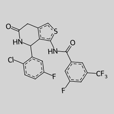 O=C1Cc2csc(NC(=O)c3cc(F)cc(C(F)(F)F)c3)c2C(c2cc(F)ccc2Cl)N1